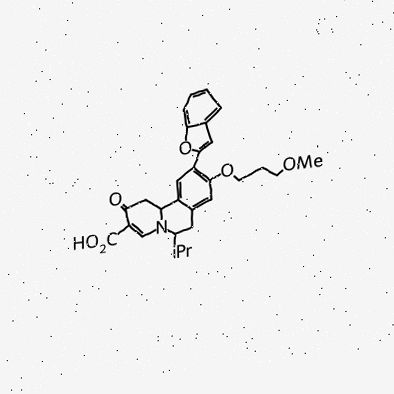 COCCCOc1cc2c(cc1-c1cc3ccccc3o1)C1CC(=O)C(C(=O)O)=CN1C(C(C)C)C2